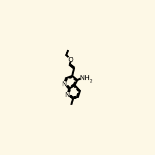 CCO/C=C/c1cnc2nc(C)ccc2c1N